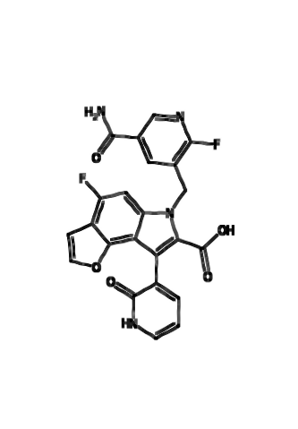 NC(=O)c1cnc(F)c(Cn2c(C(=O)O)c(-c3ccc[nH]c3=O)c3c4occc4c(F)cc32)c1